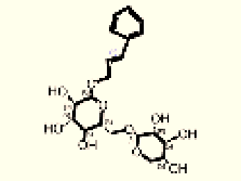 O[C@@H]1[C@@H](O)[C@@H](OC/C=C/c2ccccc2)O[C@H](CO[C@@H]2OC[C@H](O)[C@H](O)[C@H]2O)[C@H]1O